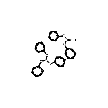 OP(Oc1ccccc1)Oc1ccccc1.c1ccc(OP(Oc2ccccc2)Oc2ccccc2)cc1